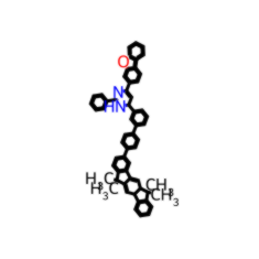 CC1(C)C2=CC3c4ccccc4C(C)(C)C3C=C2c2cc(-c3ccc(-c4cccc(C5C=C(c6ccc7c(c6)oc6ccccc67)N=C(c6ccccc6)N5)c4)cc3)ccc21